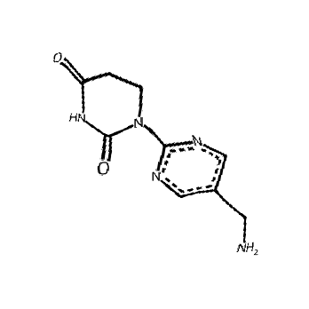 NCc1cnc(N2CCC(=O)NC2=O)nc1